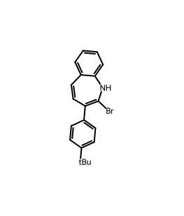 CC(C)(C)c1ccc(C2=C(Br)Nc3ccccc3C=C2)cc1